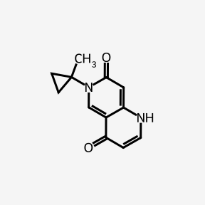 CC1(n2cc3c(=O)cc[nH]c3cc2=O)CC1